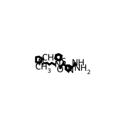 C[C@@H]1CCC[C@H](C)N1CCCCCN1C(=O)C(c2ccnc(C(=N)N)c2)Sc2ccccc21